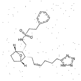 O=S(=O)(CCc1ccccc1)NC[C@@H]1[C@H](C/C=C\CCCc2nnn[nH]2)[C@@H]2CC[C@H]1O2